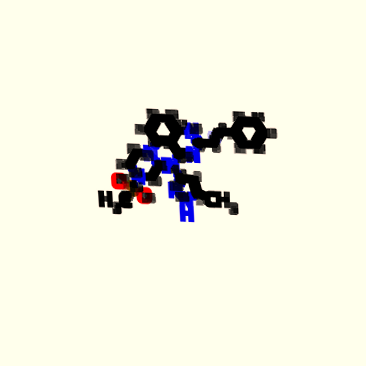 Cc1cc(Nc2nc(/C=C/c3ccccc3)nc3cccc(N4CCN(S(C)(=O)=O)CC4)c23)n[nH]1